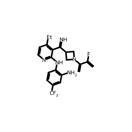 C=C(F)C(=C)N1CC(C(=N)c2c(CC)ccnc2Nc2ccc(C(F)(F)F)cc2N)C1